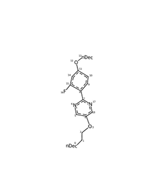 CCCCCCCCCCCCOc1cnc(-c2ccc(OCCCCCCCCCC)cc2F)nc1